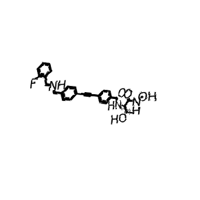 C[C@@H](O)[C@H](NC(=O)c1ccc(C#Cc2ccc(CNCc3ccccc3F)cc2)cc1)C(=O)NO